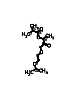 CC(C)OCCOCC(=O)C(C)OC(=O)C(C)C